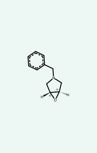 c1ccc(CN2C[C@H]3O[C@@H]3C2)cc1